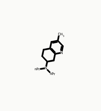 CCCN(CCC)C1CCc2cc(C)cnc2C1